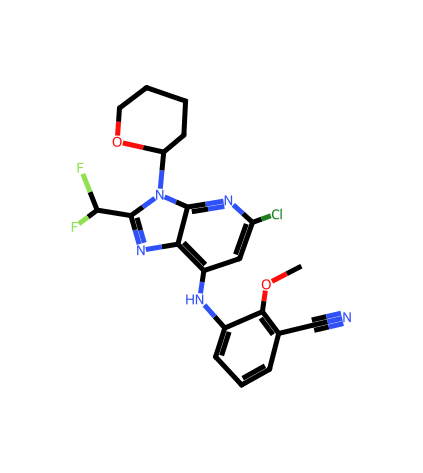 COc1c(C#N)cccc1Nc1cc(Cl)nc2c1nc(C(F)F)n2C1CCCCO1